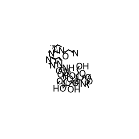 CO[C@@H]1OC(CO)[C@@H](O)[C@H](O[C@@H]2OC(C(=O)N(C)NC(=O)n3ccc4c(N(C)[C@H]5CN(C(=O)CC#N)CC[C@H]5C)ncnc43)[C@@H](OC)[C@H](O)C2O)C1NC(C)=O